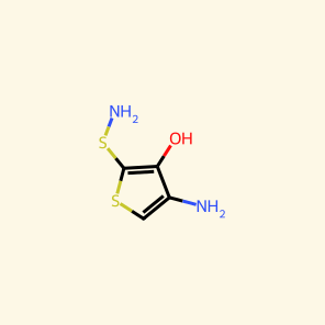 NSc1scc(N)c1O